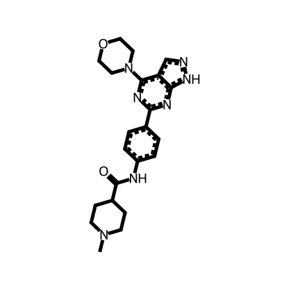 CN1CCC(C(=O)Nc2ccc(-c3nc(N4CCOCC4)c4cn[nH]c4n3)cc2)CC1